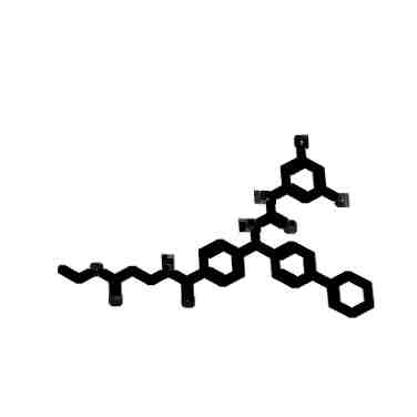 CCOC(=O)CCNC(=O)c1ccc(C(NC(=O)Nc2cc(Cl)cc(Cl)c2)c2ccc(C3=CCCCC3)cc2)cc1